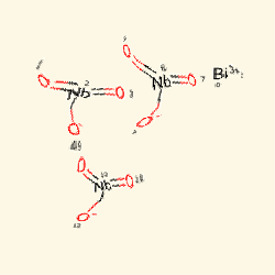 [Bi+3].[O]=[Nb](=[O])[O-].[O]=[Nb](=[O])[O-].[O]=[Nb](=[O])[O-]